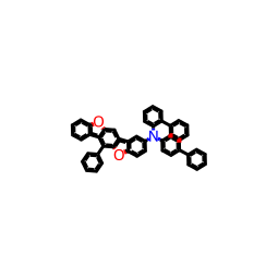 c1ccc(-c2ccc(N(c3ccc4oc5c(-c6ccccc6)c6c(cc5c4c3)oc3ccccc36)c3ccccc3-c3ccccc3)cc2)cc1